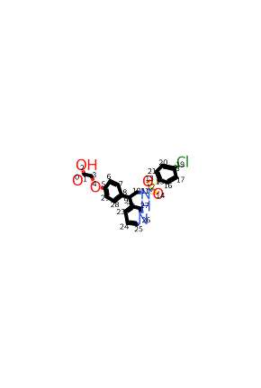 O=C(O)COc1ccc(C(CNS(=O)(=O)c2ccc(Cl)cc2)c2cccnc2)cc1